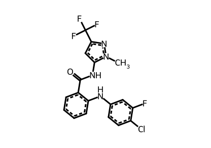 Cn1nc(C(F)(F)F)cc1NC(=O)c1ccccc1Nc1ccc(Cl)c(F)c1